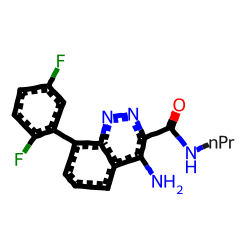 CCCNC(=O)c1nnc2c(-c3cc(F)ccc3F)cccc2c1N